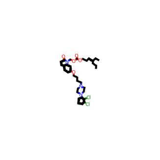 CCC/C(=C\CCOC(=O)OCn1c(=O)ccc2ccc(OCCCCN3CCN(c4cccc(Cl)c4Cl)CC3)cc21)CC